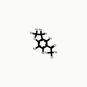 [2H]c1c([2H])c(C(=O)C([2H])([2H])Cl)c([2H])c2c1OC([2H])([2H])C2([2H])[2H]